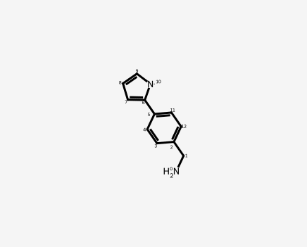 NCc1ccc(C2=CC=C[N]2)cc1